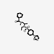 CCN(C(C)CN(C)C(=O)c1ccccc1)S(=O)(=O)c1ccc(-n2ccnn2)cc1